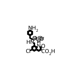 Br.Nc1ccc(CC(=O)NCc2cc(Cl)cc3cc(C(=O)O)c(=O)[nH]c23)cc1.O